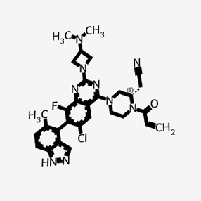 C=CC(=O)N1CCN(c2nc(N3CC(N(C)C)C3)nc3c(F)c(-c4c(C)ccc5[nH]ncc45)c(Cl)cc23)C[C@@H]1CC#N